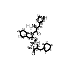 COC(=O)C(CC1CCCCC1)C[PH](=O)OC(CC1CCCCC1)NC(=O)[C@@H](N)Cc1c[nH]cn1